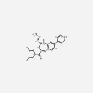 CCCN(CCC)C(=O)C1=Cc2ccc(C3=CCNC=C3)cc2NC(N=NN)C1